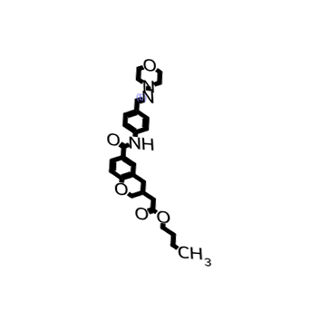 CCCCOC(=O)CC1COc2ccc(C(=O)Nc3ccc(/C=N/N4CCOCC4)cc3)cc2C1